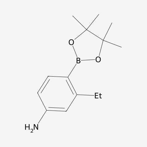 CCc1cc(N)ccc1B1OC(C)(C)C(C)(C)O1